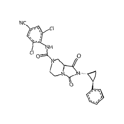 N#Cc1cc(Cl)c(NC(=O)N2CCN3C(=O)N([C@@H]4C[C@H]4c4ccccc4)C(=O)C3C2)c(Cl)c1